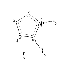 C[n+]1ccsc1I.[I-]